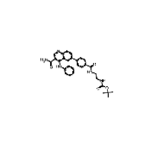 CC(C)(C)OC(=O)NCCNC(=O)c1ccc(-c2ccc3ncc(C(N)=O)c(Nc4ccccc4)c3c2)cc1